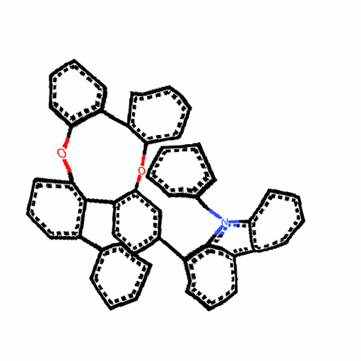 c1ccc(-c2cccc3c2-c2ccc(-c4cccc5c6ccccc6n(-c6ccccc6)c45)cc2Oc2ccccc2-c2ccccc2O3)cc1